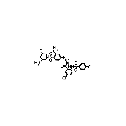 Cc1cc(N=[N+]=NC(=O)c2cc(Cl)ccc2NS(=O)(=O)c2ccc(Cl)cc2)ccc1S(=O)(=O)N1CC(C)CC(C)C1